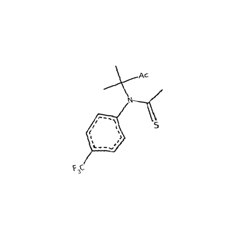 CC(=O)C(C)(C)N(C(C)=S)c1ccc(C(F)(F)F)cc1